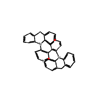 c1ccc2c(c1)Cc1ccccc1N2c1ccncc1-c1cnccc1N1c2ccccc2Cc2ccccc21